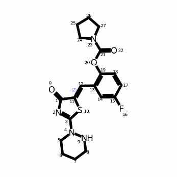 O=C1N=C(N2CCCCN2)S/C1=C\c1cc(F)ccc1OC(=O)N1CCCC1